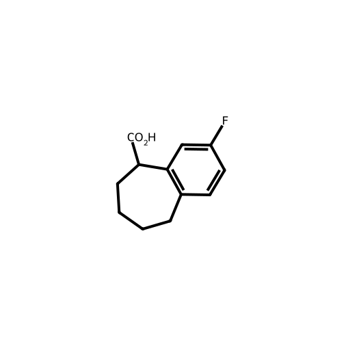 O=C(O)C1CCCCc2ccc(F)cc21